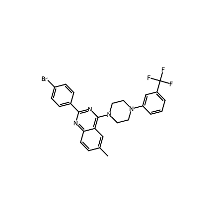 Cc1ccc2nc(-c3ccc(Br)cc3)nc(N3CCN(c4cccc(C(F)(F)F)c4)CC3)c2c1